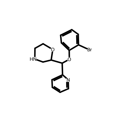 Brc1ccccc1OC(c1ccccn1)C1CNCCO1